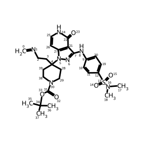 C=NCCC1(n2nc(Nc3ccc(S(=O)(=O)N(C)C)cc3)c3c(=O)[nH]ccc32)CCN(C(=O)OC(C)(C)C)CC1